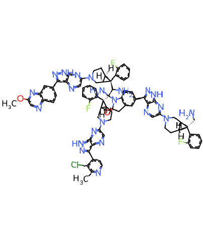 COc1cnc2ccc(-c3n[nH]c4nc(N5CC[C@@H]6[C@H](C5)[C@]6(c5ccccc5F)C(N)C(N)(N5C(=O)Cc6cc(-c7n[nH]c8nc(N9CC[C@@H]%10[C@H](C9)[C@@]%10(CN)c9ccccc9F)cnc78)ccc65)[C@]5(c6ccccc6F)[C@@H]6CCN(c7cnc8c(-c9ccnc(C)c9Cl)n[nH]c8n7)C[C@@H]65)cnc34)cc2n1